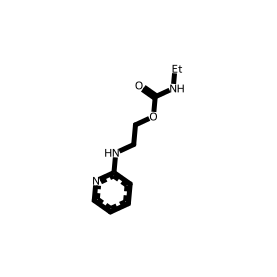 CCNC(=O)OCCNc1ccccn1